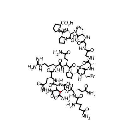 CC(C)C[C@H](NC(=O)CNC(=O)CNC(=O)[C@H](C)NC(=O)[C@H](CC(C)C)NC(=O)[C@@H]1CCCN1C(=O)[C@H](CCC(N)=O)NC(=O)[C@H](CCCNC(=N)N)NC(=O)[C@H](CCC(N)=O)NC(=O)[C@H](CCC(N)=O)NC(=O)[C@H](CCC(N)=O)NC(=O)[C@H](CCC(N)=O)NC(=O)[C@@H](N)CCC(N)=O)C(=O)N[C@@H](CO)C(=O)N1CCC[C@H]1C(=O)N1CCC[C@H]1C(=O)O